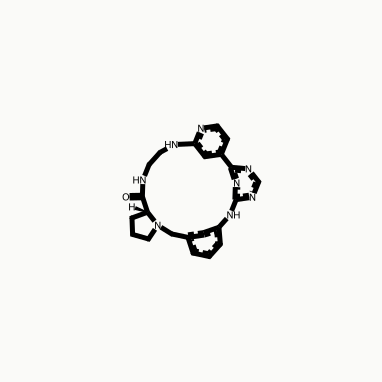 O=C1NCCNc2cc(ccn2)-c2ncnc(n2)Nc2cccc(c2)CN2CCC[C@H]12